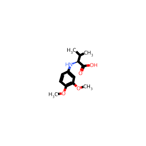 COc1ccc(N[C@H](C(=O)O)C(C)C)cc1OC